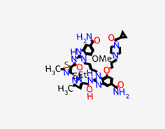 CCc1nc(C)sc1C(=O)Nc1nc2cc(C(N)=O)cc(OC)c2n1C/C=C/Cn1c(NC(O)c2cc(C)nn2CC)nc2cc(C(N)=O)cc(OCCCN3CCN(C(=O)C4CC4)CC3)c21